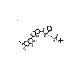 COc1cc2cc(C(=O)Nc3cc(C(=O)N[C@@H](CCNC(=O)OC(C)(C)C)c4ccccc4)ccc3C)c(=O)[nH]c2cc1OC